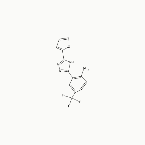 Nc1ccc(C(F)(F)F)cc1-c1nnc(-c2ccco2)[nH]1